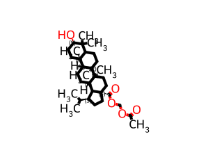 CC(=O)OCOC(=O)[C@]12CC[C@@H](C(C)C)C1[C@H]1CC[C@@H]3[C@@]4(C)CC[C@H](O)C(C)(C)C4CC[C@@]3(C)[C@]1(C)CC2